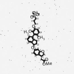 COC(=O)C[C@@H]1COc2cc(O[C@@H]3CCc4c(-c5c(C)ccc(OCCCS(C)(=O)=O)c5C)cccc43)ccc21